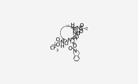 CC(C)(OC(=O)N[C@H]1CCCCC/C=C\[C@@H]2C[C@@]2(C(=O)NS(=O)(=O)C2CC2)NC(=O)[C@@H]2C[C@@H](OC(=O)N3CCc4ccccc4C3)CN2C1=O)C(F)(F)F